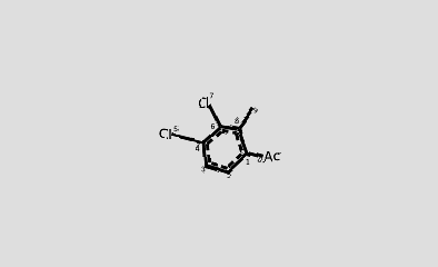 CC(=O)c1ccc(Cl)c(Cl)c1C